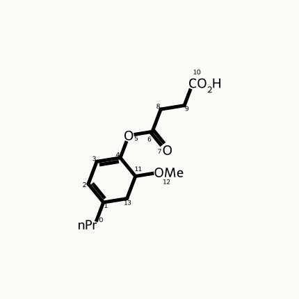 CCCC1=CC=C(OC(=O)CCC(=O)O)C(OC)C1